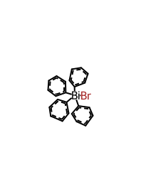 [Br][Bi]([c]1ccccc1)([c]1ccccc1)([c]1ccccc1)[c]1ccccc1